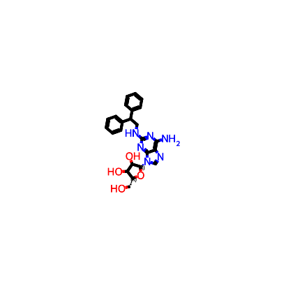 Nc1nc(NCC(c2ccccc2)c2ccccc2)nc2c1ncn2[C@@H]1O[C@H](CO)C(O)C1O